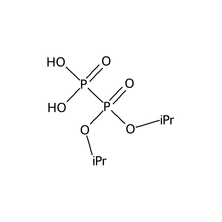 CC(C)OP(=O)(OC(C)C)P(=O)(O)O